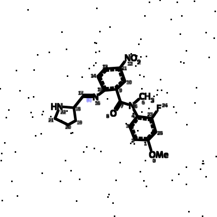 COc1ccc(N(C)C(=O)c2cc([N+](=O)[O-])ccc2/N=C/C2CCCN2)c(F)c1